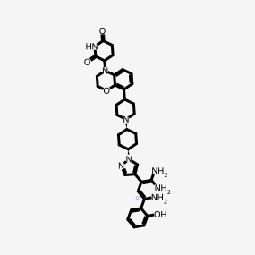 NC(N)=C(/C=C(\N)c1ccccc1O)c1cnn([C@H]2CC[C@@H](N3CCC(c4cccc5c4OCCN5C4CCC(=O)NC4=O)CC3)CC2)c1